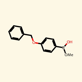 COB(O)c1ccc(OCc2ccccc2)cc1